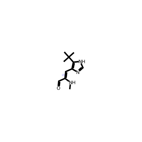 CN/C(C=O)=C\c1nc[nH]c1C(C)(C)C